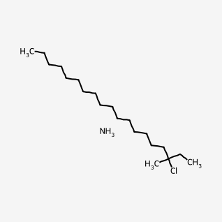 CCCCCCCCCCCCCCCCC(C)(Cl)CC.N